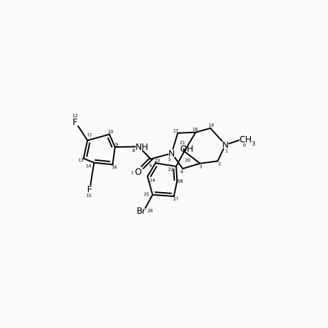 CN1CC2CN(C(=O)Nc3cc(F)cc(F)c3)CC(C1)C2(O)c1ccc(Br)cc1